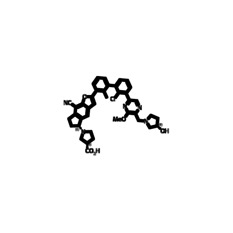 COc1nc(-c2cccc(-c3cccc(-c4cc5cc6c(c(C#N)c5o4)CC[C@H]6N4CC[C@@H](C(=O)O)C4)c3C)c2Cl)cnc1CN1CC[C@@H](O)C1